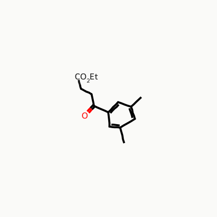 CCOC(=O)CCC(=O)c1cc(C)cc(C)c1